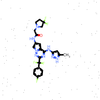 Cc1cc(Nc2nc(C(F)(F)c3ccc(F)cc3)nn3cc(NC(=O)CN4CCC(F)(F)C4)cc23)n[nH]1